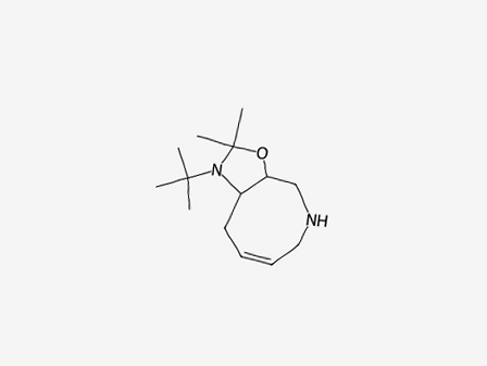 CC(C)(C)N1C2CC=CCNCC2OC1(C)C